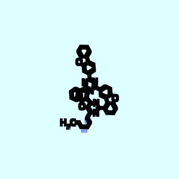 C=C/C=C\C=C\c1nc(-c2cccc3oc4ccc(-c5nc(-c6ccccc6)nc(-c6ccc7c(c6)oc6ccccc67)n5)cc4c23)nc2c1oc1ccccc12